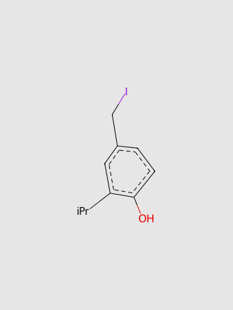 CC(C)c1cc(CI)ccc1O